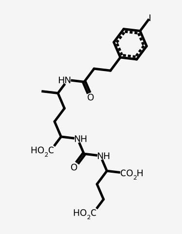 CC(CCC(NC(=O)NC(CCC(=O)O)C(=O)O)C(=O)O)NC(=O)CCc1ccc(I)cc1